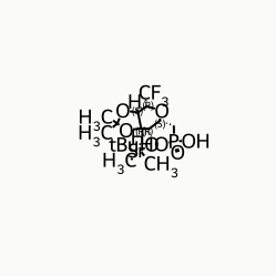 CC1(C)O[C@H]2[C@@H](O[Si](C)(C)C(C)(C)C)[C@@H](CP(=O)(O)O)O[C@@H](C(F)(F)F)[C@H]2O1